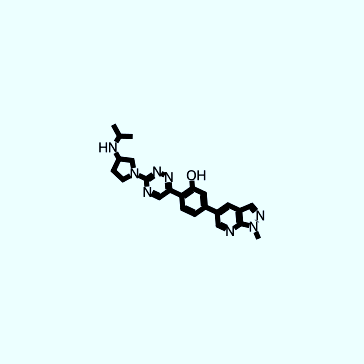 CC(C)NC1CCN(c2ncc(-c3ccc(-c4cnc5c(cnn5C)c4)cc3O)nn2)C1